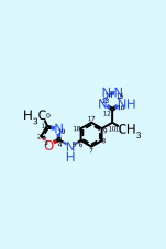 Cc1coc(Nc2ccc(C(C)c3nnn[nH]3)cc2)n1